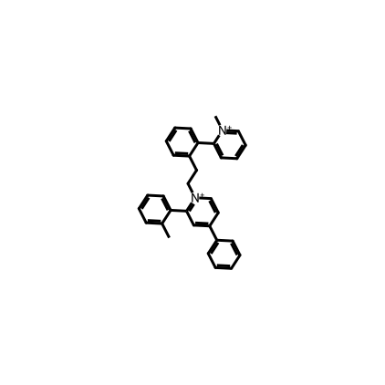 Cc1ccccc1-c1cc(-c2ccccc2)cc[n+]1CCc1ccccc1-c1cccc[n+]1C